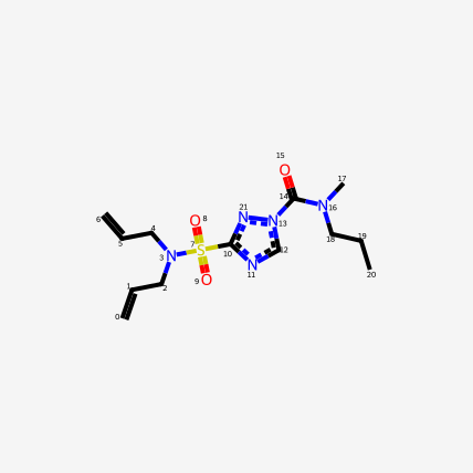 C=CCN(CC=C)S(=O)(=O)c1ncn(C(=O)N(C)CCC)n1